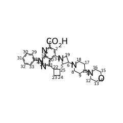 O=C(O)c1cc(N2CC(N3CCC(N4CCOCC4)CC3)C2)c2c(C3CCC3)nn(-c3ccccc3)c2n1